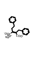 O=C([O-])C(CCc1ccccc1)=C(Cc1ccccc1)C(=O)[O-].[Na+].[Na+]